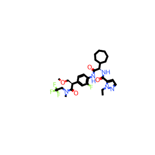 CCn1nccc1C(=O)N[C@H](C(=O)Nc1ccc([C@H](COC)C(=O)N(C)CC(F)(F)F)cc1F)C1CCCCCC1